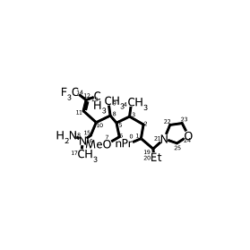 CCCC(CC(C)C(COC)C(C)C(/C=C(\C)C(F)(F)F)CN(C)N)C(CC)N1CCOC1